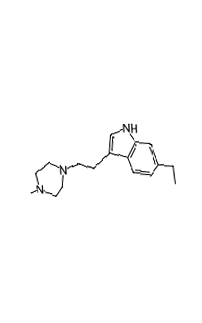 CCc1ccc2c(CCN3CCN(C)CC3)c[nH]c2c1